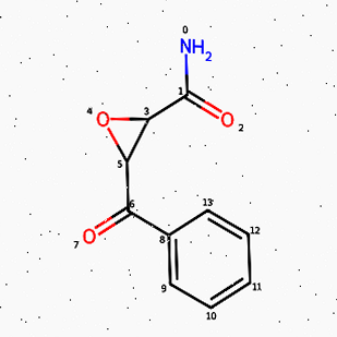 NC(=O)C1OC1C(=O)c1ccccc1